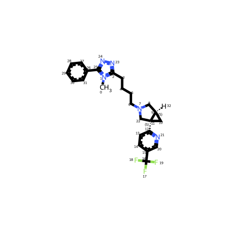 Cn1c(CCCCN2C[C@H]3C[C@@]3(c3ccc(C(F)(F)F)cn3)C2)nnc1-c1ccccc1